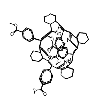 COC(=O)c1ccc(/C2=C3/N/C(=C(/c4ccc(C(=O)OC)cc4)C4=N/C(=C(/c5ccc(C(=O)OC)cc5)c5[nH]c(c6c5CCCC6)/C(c5ccc(C(=O)OC)cc5)=C5N=C2C2CCCCC\52)C2CCCCC42)C2CCCCC32)cc1